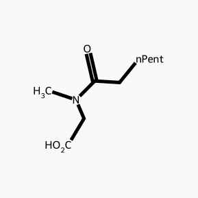 CCCCCCC(=O)N(C)CC(=O)O